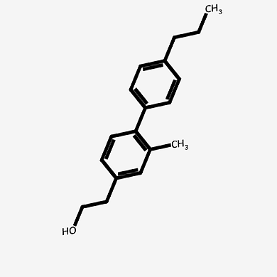 CCCc1ccc(-c2ccc(CCO)cc2C)cc1